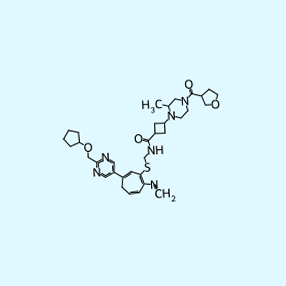 C=NC1=C(SCNC(=O)C2CC(N3CCN(C(=O)C4CCOC4)CC3C)C2)C=C(c2cnc(COC3CCCC3)nc2)CC=C1